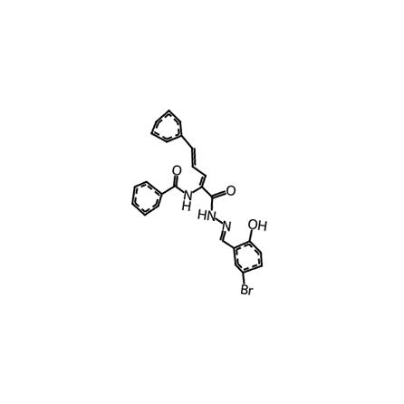 O=C(N/N=C/c1cc(Br)ccc1O)/C(=C/C=C/c1ccccc1)NC(=O)c1ccccc1